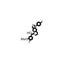 COc1cc([C@H](O)[C@H]2CCCC3=Cc4c(cnn4-c4ccc(F)cc4)CI32)ccc1F